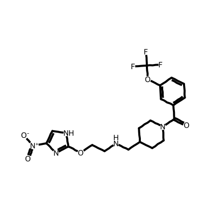 O=C(c1cccc(OC(F)(F)F)c1)N1CCC(CNCCOc2nc([N+](=O)[O-])c[nH]2)CC1